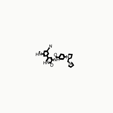 CNc1cc(C#N)cc(-c2c[nH]c(=O)c(NC(=O)c3ccc(N4CCCC4CN4CCCC4)cc3)c2)c1